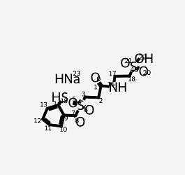 O=C(CCS(=O)(=O)C(=O)c1ccccc1S)NCCS(=O)(=O)O.[NaH]